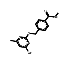 CNC(=O)c1ccc(CSc2nc(C)cc(O)n2)cc1